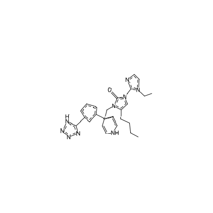 CCCCc1cn(-c2nccn2CC)c(=O)n1CC1(c2cccc(-c3nnn[nH]3)c2)C=CNC=C1